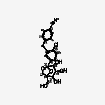 N#Cc1ccc(Cc2cc([C@]34OCC(CO)(O3)C(O)[C@H](O)[C@H]4O)ccc2Cl)cc1